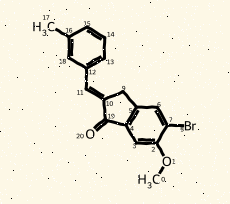 COc1cc2c(cc1Br)C/C(=C\c1cccc(C)c1)C2=O